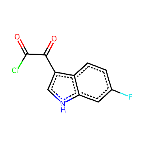 O=C(Cl)C(=O)c1c[nH]c2cc(F)ccc12